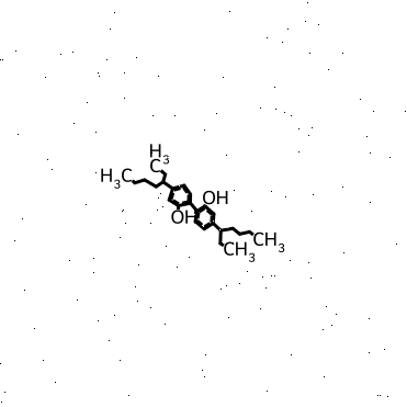 CCCCC(CC)c1ccc(-c2ccc(C(CC)CCCC)cc2O)c(O)c1